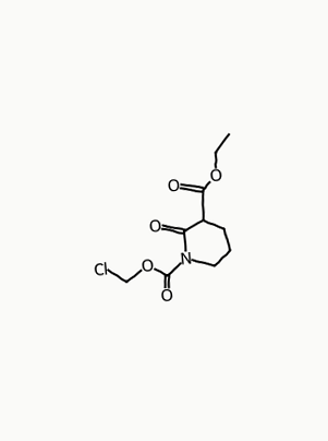 CCOC(=O)C1CCCN(C(=O)OCCl)C1=O